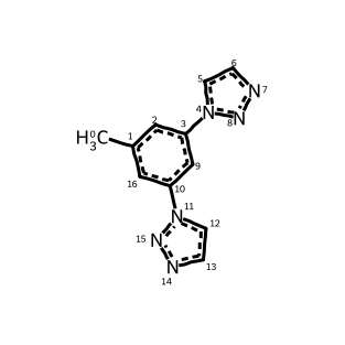 Cc1cc(-n2ccnn2)cc(-n2ccnn2)c1